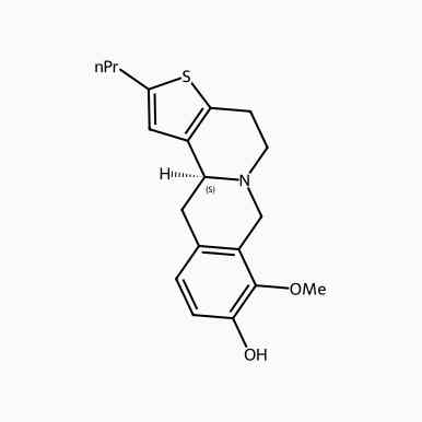 CCCc1cc2c(s1)CCN1Cc3c(ccc(O)c3OC)C[C@@H]21